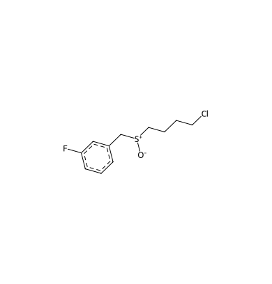 [O-][S+](CCCCCl)Cc1cccc(F)c1